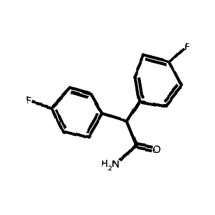 NC(=O)C(c1ccc(F)cc1)c1ccc(F)cc1